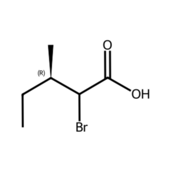 CC[C@@H](C)C(Br)C(=O)O